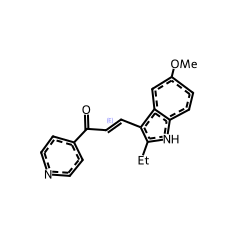 CCc1[nH]c2ccc(OC)cc2c1/C=C/C(=O)c1ccncc1